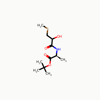 CSCC(O)C(=O)N[C@@H](C)C(=O)OC(C)(C)C